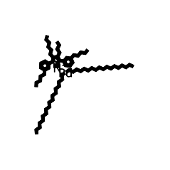 CCCCCCC1=C(c2cccc(CCCCC)c2)[N+](=[N-])C(c2cccc(CCCCC)c2)=C1CCCC.CCCCCCCCCCCCCCCCC[CH2][Pd][CH2]CCCCCCCCCCCCCCCCC